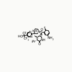 CC(C)[C@H]1C(=O)NCCN1C[C@@]1(c2ncc(C(O)(C(F)(F)F)C(F)(F)F)cn2)CN(S(=O)(=O)C2=CC(N)=CCC2=S)CCN1